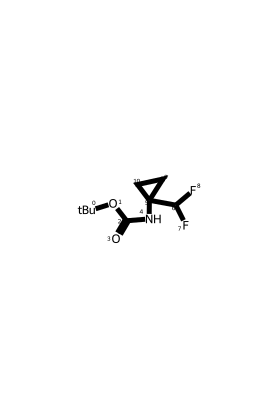 CC(C)(C)OC(=O)NC1(C(F)F)CC1